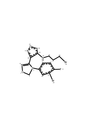 Fc1ccc(N2CON=C2c2nonc2NCCCBr)cc1Br